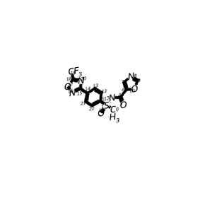 CS(=O)(=NC(=O)c1cnco1)c1ccc(-c2noc(C(F)(F)F)n2)cc1